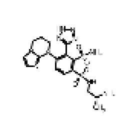 C[C@H](N)CNS(=O)(=O)c1ccc(N2CCCn3ccnc32)c(-c2nn[nH]n2)c1S(N)(=O)=O